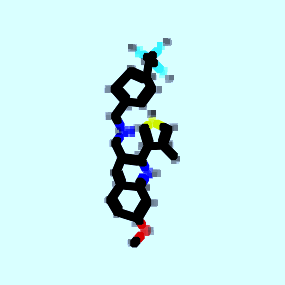 COc1ccc2cc(CNCc3ccc(C(F)(F)F)cc3)c(-c3cscc3C)nc2c1